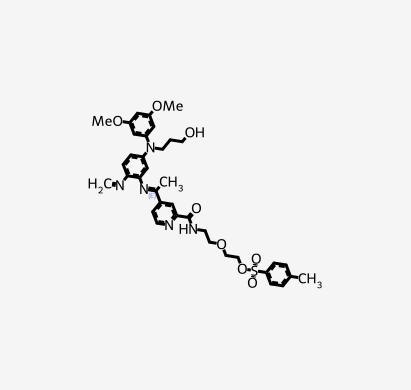 C=Nc1ccc(N(CCCO)c2cc(OC)cc(OC)c2)cc1/N=C(\C)c1ccnc(C(=O)NCCOCCOS(=O)(=O)c2ccc(C)cc2)c1